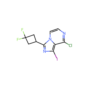 FC1(F)CC(c2nc(I)c3c(Cl)nccn23)C1